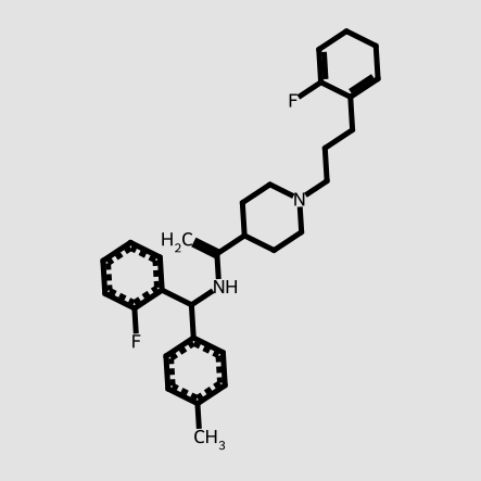 C=C(NC(c1ccc(C)cc1)c1ccccc1F)C1CCN(CCCC2=CCCC=C2F)CC1